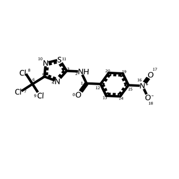 O=C(Nc1nc(C(Cl)(Cl)Cl)ns1)c1ccc([N+](=O)[O-])cc1